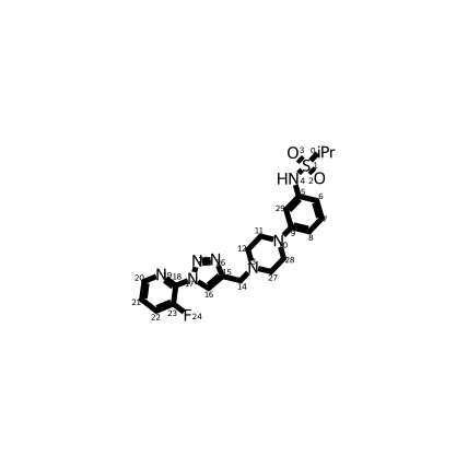 CC(C)S(=O)(=O)Nc1cccc(N2CCN(Cc3cn(-c4ncccc4F)nn3)CC2)c1